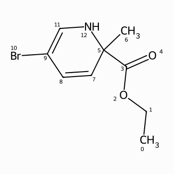 CCOC(=O)C1(C)C=CC(Br)=CN1